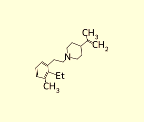 C=C(C)C1CCN(CCc2cccc(C)c2CC)CC1